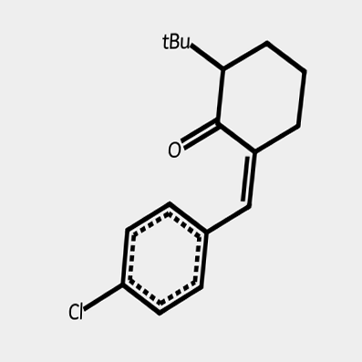 CC(C)(C)C1CCCC(=Cc2ccc(Cl)cc2)C1=O